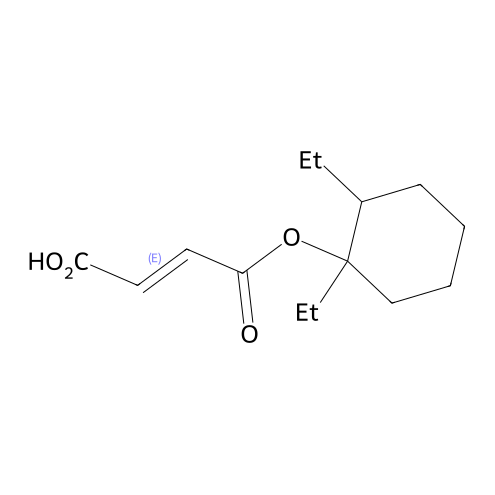 CCC1CCCCC1(CC)OC(=O)/C=C/C(=O)O